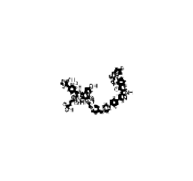 Cc1ncsc1-c1ccc([C@H](COC(=O)CCC(=O)O)NC(=O)[C@@H]2C[C@@H](O)CN2C(=O)[C@@H](NC(=O)CN2CCC(CN3CCN(c4ccc(-c5cnc6[nH]cc(C(=O)c7c(F)ccc(N(N8CC[C@@H](F)C8)[SH](=O)=O)c7F)c6c5)cc4)CC3)CC2)C(C)(C)C)cc1